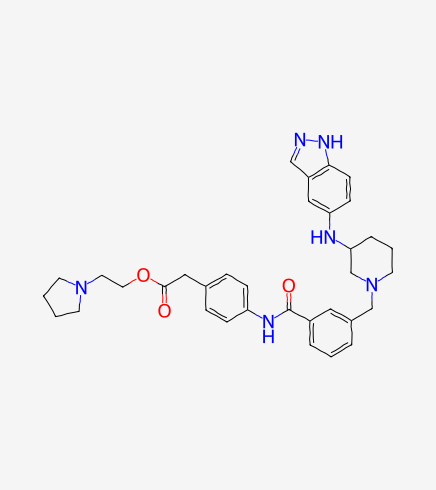 O=C(Cc1ccc(NC(=O)c2cccc(CN3CCCC(Nc4ccc5[nH]ncc5c4)C3)c2)cc1)OCCN1CCCC1